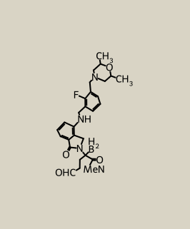 BC(CCC=O)(C(=O)NC)N1Cc2c(NCc3cccc(CN4CC(C)OC(C)C4)c3F)cccc2C1=O